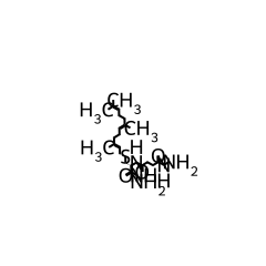 CC(C)=CCCC(C)=CCCC(C)=CCSC[C@H](NC(=O)CCC(=O)NN)C(=O)NN